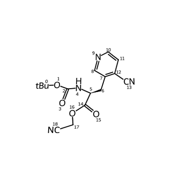 CC(C)(C)OC(=O)N[C@@H](Cc1cnccc1C#N)C(=O)OCC#N